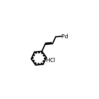 Cl.[Pd][CH2]C=Cc1ccccc1